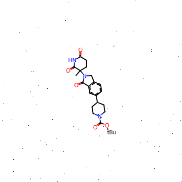 CC(C)(C)OC(=O)N1CCC(c2ccc3c(c2)C(=O)N(C2(C)CCC(=O)NC2=O)C3)CC1